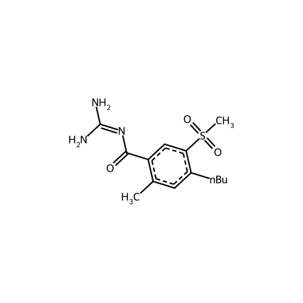 CCCCc1cc(C)c(C(=O)N=C(N)N)cc1S(C)(=O)=O